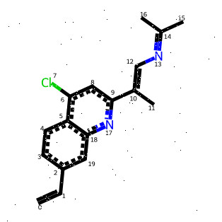 C=Cc1ccc2c(Cl)cc(/C(C)=C/N=C(C)C)nc2c1